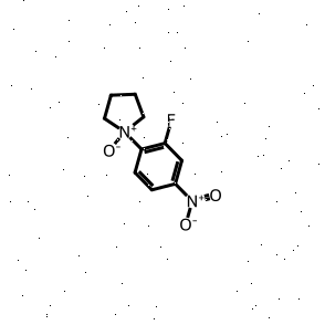 O=[N+]([O-])c1ccc([N+]2([O-])CCCC2)c(F)c1